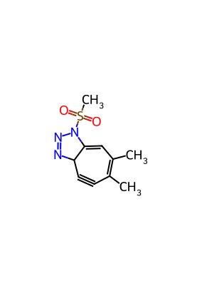 CC1=C(C)C=C2C(C#C1)N=NN2S(C)(=O)=O